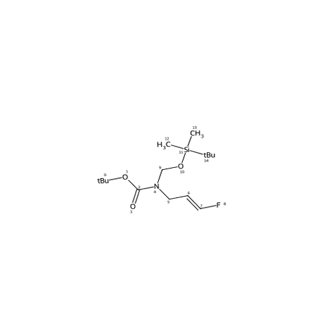 CC(C)(C)OC(=O)N(CC=CF)CO[Si](C)(C)C(C)(C)C